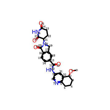 COC1CCCc2ncc(NC(=O)c3ccc4c(c3)CN(C3CCC(=O)NC3=O)C4=O)cc21